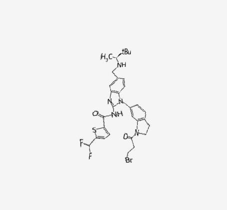 C[C@H](NCc1ccc2c(c1)nc(NC(=O)c1ccc(C(F)F)s1)n2-c1ccc2c(c1)N(C(=O)CCBr)CC2)C(C)(C)C